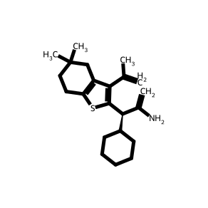 C=C(C)c1c([C@@H](C(=C)N)C2CCCCC2)sc2c1CC(C)(C)CC2